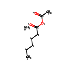 CCCCCC(=O)OC(C)=O.[InH3]